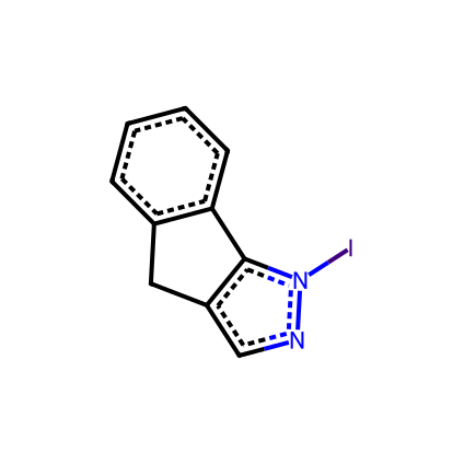 In1ncc2c1-c1ccccc1C2